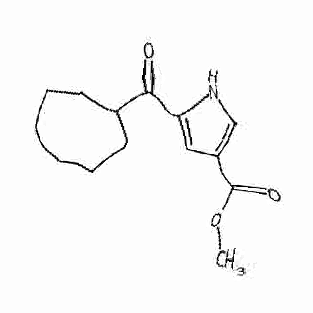 COC(=O)c1c[nH]c(C(=O)C2CCCCCC2)c1